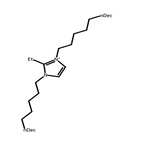 CCCCCCCCCCCCCCCn1cc[n+](CCCCCCCCCCCCCCC)c1CC